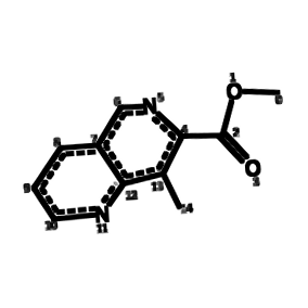 COC(=O)c1ncc2cccnc2c1C